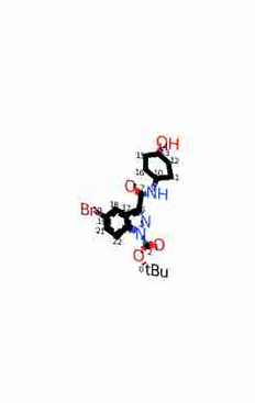 CC(C)(C)OC(=O)n1nc(C(=O)NC2CCC(O)CC2)c2cc(Br)ccc21